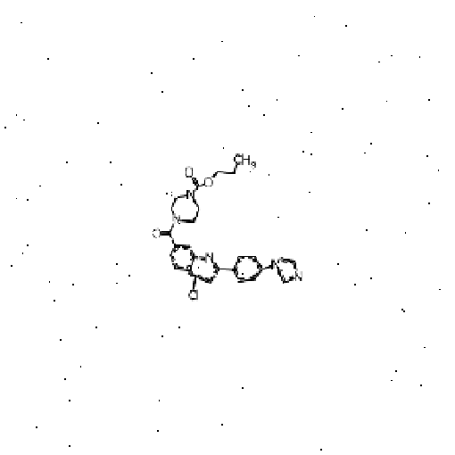 CCCOC(=O)N1CCN(C(=O)c2ccc3c(Cl)cc(-c4ccc(-n5ccnc5)cc4)nc3c2)CC1